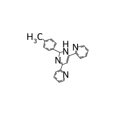 Cc1ccc(C2N=C(c3ccccn3)C=C(c3ccccn3)N2)cc1